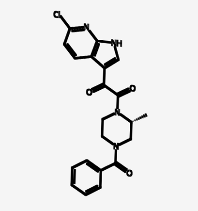 C[C@@H]1CN(C(=O)c2ccccc2)CCN1C(=O)C(=O)c1c[nH]c2nc(Cl)ccc12